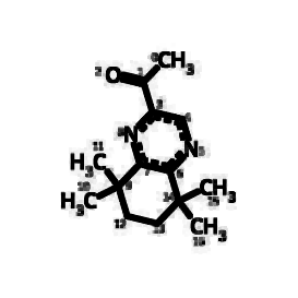 CC(=O)c1cnc2c(n1)C(C)(C)CCC2(C)C